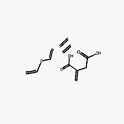 C=C.C=C.C=C(CC(=O)O)C(=O)O.C=COC=C